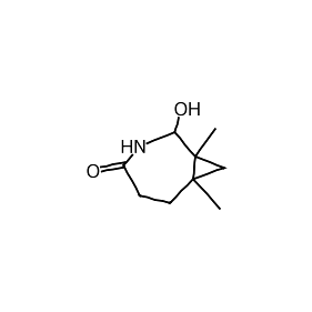 CC12CCC(=O)NC(O)C1(C)C2